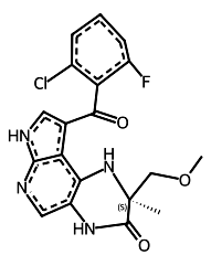 COC[C@]1(C)Nc2c(cnc3[nH]cc(C(=O)c4c(F)cccc4Cl)c23)NC1=O